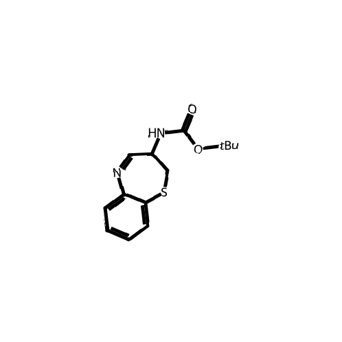 CC(C)(C)OC(=O)NC1C=Nc2ccccc2SC1